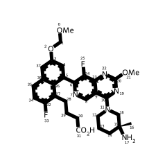 COCOc1cc(-c2ncc3c(N4CCC[C@@](C)(N)C4)nc(OC)nc3c2F)c2c(CCCC(=O)O)c(F)ccc2c1